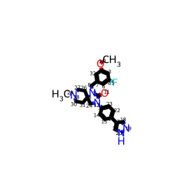 COc1cc(F)cc(CN2C(=O)N(c3ccc(-c4cn[nH]c4)cc3)CC23CCN(C)CC3)c1